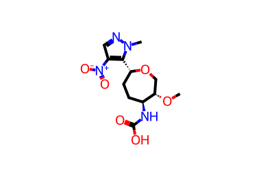 CO[C@H]1CO[C@@H](c2c([N+](=O)[O-])cnn2C)CC[C@@H]1NC(=O)O